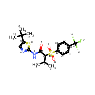 CC(C)C(C(=O)Nc1ncc(C(C)(C)C)s1)S(=O)(=O)c1ccc(C(F)(F)F)cc1